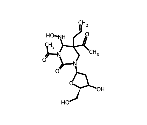 C=CCC1(C(C)=O)CN([C@H]2CC(O)[C@@H](CO)O2)C(=O)N(C(C)=O)C1NO